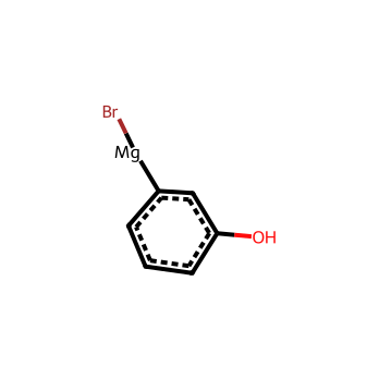 Oc1ccc[c]([Mg][Br])c1